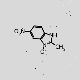 Cc1[nH]c2ccc([N+](=O)[O-])cc2[n+]1[O-]